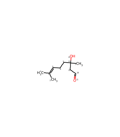 CC(C)=CCCC(C)(O)CC=O